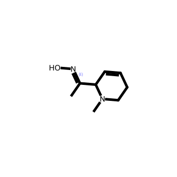 C/C(=N\O)C1C=CCCN1C